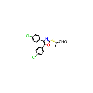 CC(C=O)Sc1nc(-c2ccc(Cl)cc2)c(-c2ccc(Cl)cc2)o1